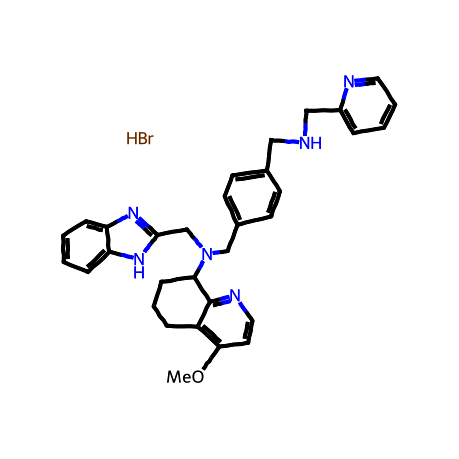 Br.COc1ccnc2c1CCCC2N(Cc1ccc(CNCc2ccccn2)cc1)Cc1nc2ccccc2[nH]1